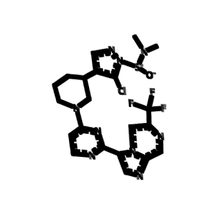 CN(C)[S+]([O-])n1ncc(C2CCCN(c3ccnc(-c4cnc5cnc(C(F)(F)F)cn45)n3)C2)c1Cl